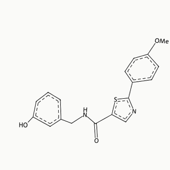 COc1ccc(-c2ncc(C(=O)NCc3cccc(O)c3)s2)cc1